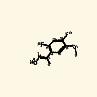 COc1cc(/C(C)=N/O)c(F)cc1F